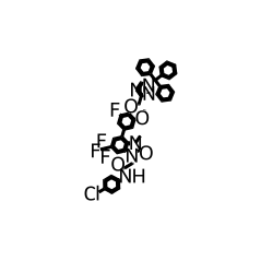 COc1cc(-c2cc(C(F)(F)F)cc3c2n(C)c(=O)n3CC(=O)Nc2ccc(Cl)cc2)cc(F)c1OCc1ncn(C(c2ccccc2)(c2ccccc2)c2ccccc2)n1